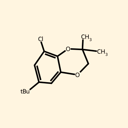 CC1(C)COc2cc(C(C)(C)C)cc(Cl)c2O1